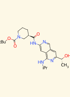 CC(C)Nc1nc([C@@H](C)O)cc2cnc(NC(=O)[C@@H]3CCCN(C(=O)OC(C)(C)C)C3)cc12